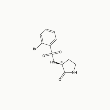 O=C1NCC[C@@H]1NS(=O)(=O)c1ccccc1Br